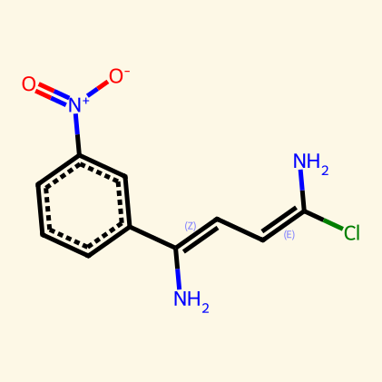 N/C(=C\C=C(/N)Cl)c1cccc([N+](=O)[O-])c1